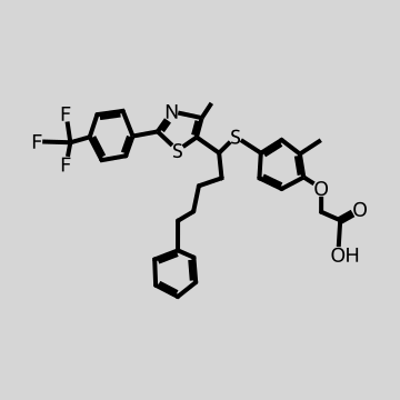 Cc1cc(SC(CCCCc2ccccc2)c2sc(-c3ccc(C(F)(F)F)cc3)nc2C)ccc1OCC(=O)O